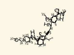 CCc1c(C#CCNc2ccc(C(=O)NC)cc2OC)sc2c(NC3CCN(CCOC)CC3)cccc12